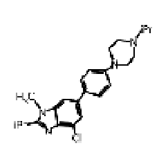 CC(C)c1nc2c(Cl)cc(-c3ccc(N4CCN(C(C)C)CC4)cc3)cc2n1C